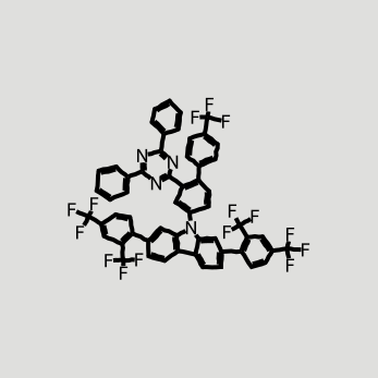 FC(F)(F)c1ccc(-c2ccc(-n3c4cc(-c5ccc(C(F)(F)F)cc5C(F)(F)F)ccc4c4ccc(-c5ccc(C(F)(F)F)cc5C(F)(F)F)cc43)cc2-c2nc(-c3ccccc3)nc(-c3ccccc3)n2)cc1